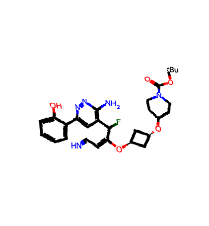 CC(C)(C)OC(=O)N1CCC(O[C@H]2C[C@H](OC(=CC=N)C(F)c3cc(-c4ccccc4O)nnc3N)C2)CC1